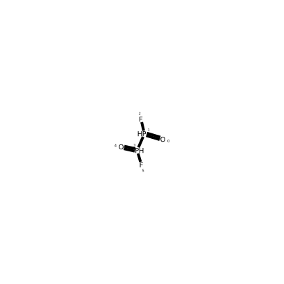 O=[PH](F)[PH](=O)F